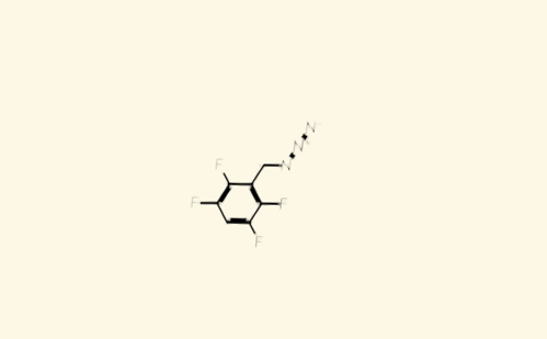 [N-]=[N+]=N[CH]c1c(F)c(F)cc(F)c1F